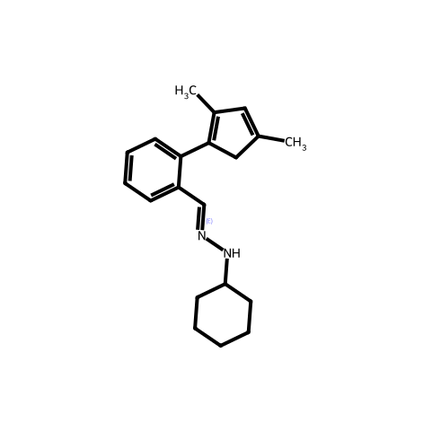 CC1=CC(C)=C(c2ccccc2/C=N/NC2CCCCC2)C1